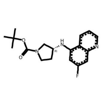 CC(C)(C)OC(=O)N1CC[C@@H](Nc2cc(F)cc3ncccc23)C1